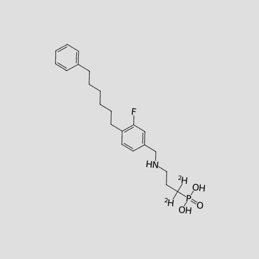 [2H]C([2H])(CCNCc1ccc(CCCCCCc2ccccc2)c(F)c1)P(=O)(O)O